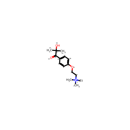 CC[N+](C)(C)CCOc1ccc(C(=O)C(C)(C)O)cc1